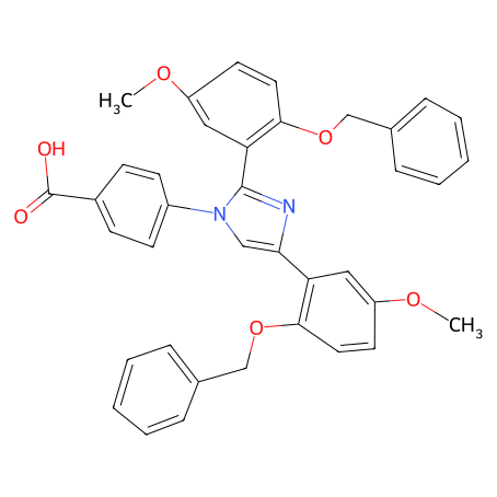 COc1ccc(OCc2ccccc2)c(-c2cn(-c3ccc(C(=O)O)cc3)c(-c3cc(OC)ccc3OCc3ccccc3)n2)c1